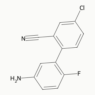 N#Cc1cc(Cl)ccc1-c1cc(N)ccc1F